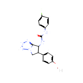 COc1ccc(C2Cn3nnnc3C2NC(=O)Nc2ccc(F)cc2)cc1